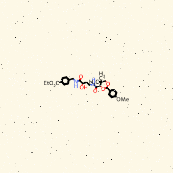 CCOC(=O)c1ccc(CNC(=O)C(O)CCNC(=O)[C@@H]2OC(c3ccc(OC)cc3)OCC2(C)C)cc1